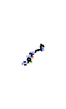 C=C/C(=C\NCCC#Cc1cnn2ccc(C)cc12)C(=O)Nc1ccc(CN2CCN(C)CC2)c(C(F)(F)F)c1